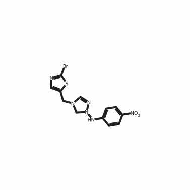 O=[N+]([O-])c1ccc(NN2CN(Cc3cnc(Br)s3)C=N2)cc1